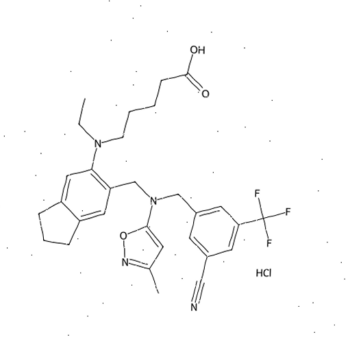 CCN(CCCCC(=O)O)c1cc2c(cc1CN(Cc1cc(C#N)cc(C(F)(F)F)c1)c1cc(C)no1)CCC2.Cl